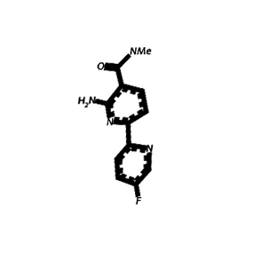 CNC(=O)c1ccc(-c2ccc(F)cn2)nc1N